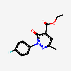 CCOC(=O)c1cc(C)nn(-c2ccc(F)cc2)c1=O